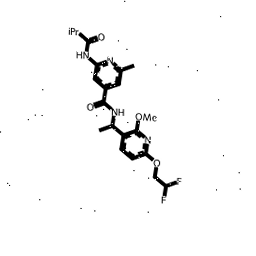 COc1nc(OCC(F)F)ccc1C(C)NC(=O)c1cc(C)nc(NC(=O)C(C)C)c1